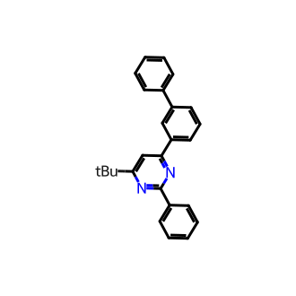 CC(C)(C)c1cc(-c2cccc(-c3ccccc3)c2)nc(-c2ccccc2)n1